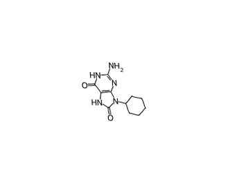 Nc1nc2c([nH]c(=O)n2C2CCCCC2)c(=O)[nH]1